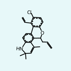 C=CCC1Oc2ccc(Cl)c(C=C)c2-c2ccc3c(c21)C(C)=CC(C)(C)N3